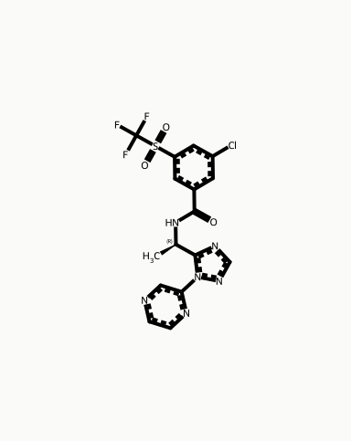 C[C@@H](NC(=O)c1cc(Cl)cc(S(=O)(=O)C(F)(F)F)c1)c1ncnn1-c1cnccn1